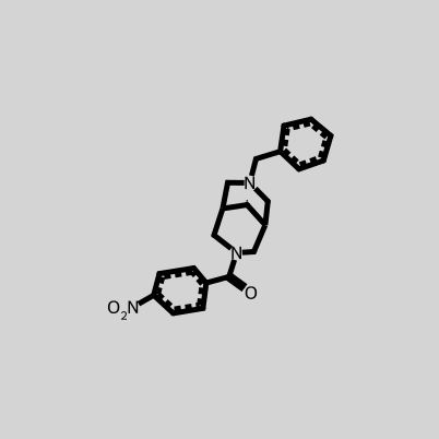 O=C(c1ccc([N+](=O)[O-])cc1)N1CC2[CH]C(CN(Cc3ccccc3)C2)C1